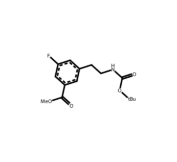 COC(=O)c1cc(F)cc(CCNC(=O)OC(C)(C)C)c1